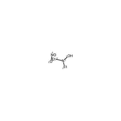 CCN(O)CC.O=[NH+][O-]